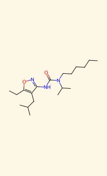 CCCCCCN(C(=O)Nc1noc(CC)c1CC(C)C)C(C)C